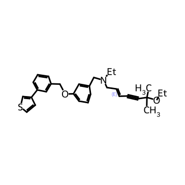 CCOC(C)(C)C#C/C=C/CN(CC)Cc1cccc(OCc2cccc(-c3ccsc3)c2)c1